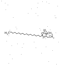 CCCCCCCCCCCCCCCCCC(=O)OC(CC)N(C)C